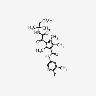 COCC(C)(C)NC(=O)C(=O)c1c(C)c(C(=O)Nc2cnc(F)c(C)c2)c(C)n1C